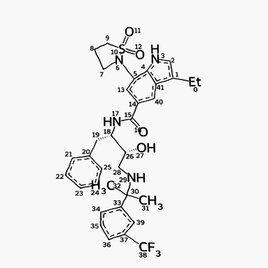 CCc1c[nH]c2c(N3CCCS3(=O)=O)cc(C(=O)N[C@@H](Cc3ccccc3)[C@H](O)CNC(C)(C)c3cccc(C(F)(F)F)c3)cc12